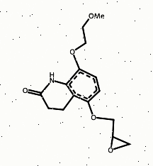 COCCOc1ccc(OCC2CO2)c2c1NC(=O)CC2